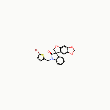 O=C1N(Cc2ccc(Br)s2)c2ccccc2C12COc1cc3c(cc12)OCO3